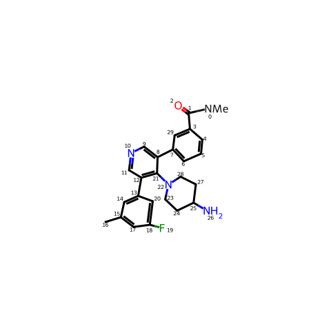 CNC(=O)c1cccc(-c2cncc(-c3cc(C)cc(F)c3)c2N2CCC(N)CC2)c1